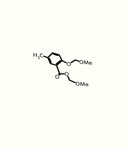 COCOC(=O)c1cc(C)ccc1OCOC